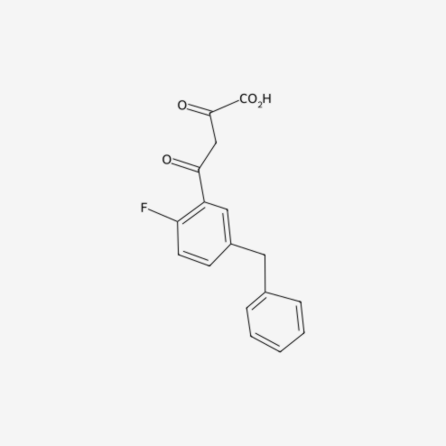 O=C(O)C(=O)CC(=O)c1cc(Cc2ccccc2)ccc1F